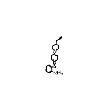 C#CCC1CCN(C2CCN(Sc3ccccc3N)CC2)CC1